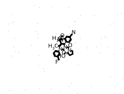 CC1=C(C#N)[C@@H](c2ccc(C#N)cc2S(C)(=O)=O)N(C(=O)N2CCC[C@H]2CO)C(=O)N1c1cccc(CF)c1